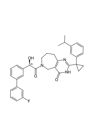 CC(C)c1cccc(C2(c3nc4c(c(=O)[nH]3)CN(C(=O)[C@H](O)c3cccc(-c5cccc(F)c5)c3)CCC4)CC2)c1